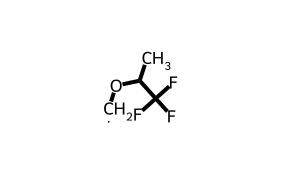 [CH2]OC(C)C(F)(F)F